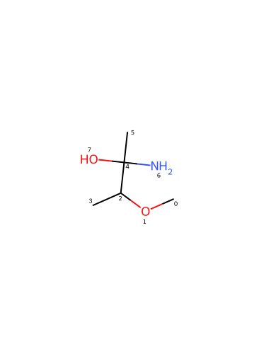 COC(C)C(C)(N)O